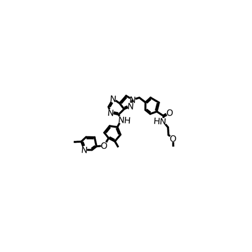 COCCNC(=O)c1ccc(Cn2cc3ncnc(Nc4ccc(Oc5ccc(C)nc5)c(C)c4)c3n2)cc1